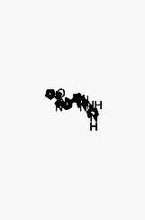 O=C(c1cnc2ccc(-c3ccn4nc(NC5CCNCC5)ncc34)cn12)N1CCCC1